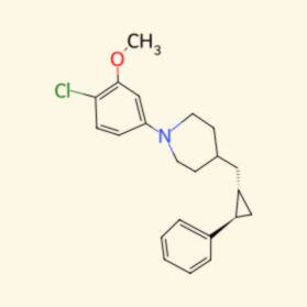 COc1cc(N2CCC(C[C@@H]3C[C@H]3c3ccccc3)CC2)ccc1Cl